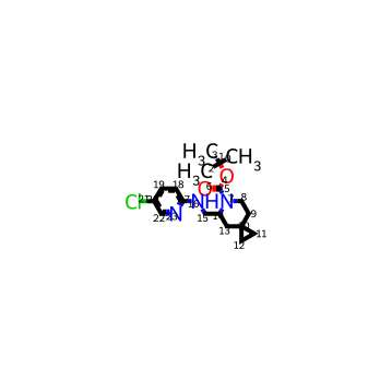 CC(C)(C)OC(=O)N1CCC2(CC2)CC1CNc1ccc(Cl)cn1